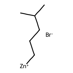 CC(C)CC[CH2][Zn+].[Br-]